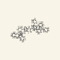 c1ccc(-c2nc(-c3ccc4c(c3)oc3c5ccccc5c(-n5c6ccccc6c6cc7ccccc7cc65)cc43)nc(-c3cccc4c3c3ccccc3n4-c3ccccc3)n2)cc1